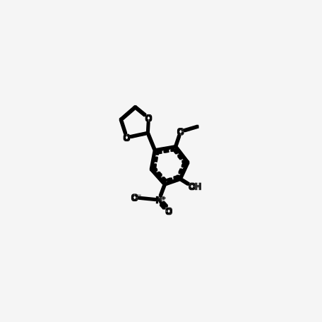 COc1cc(O)c([N+](=O)[O-])cc1C1OCCO1